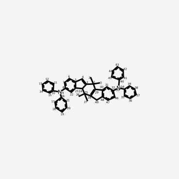 CC1(C)C2=Cc3ccc(N(c4ccccc4)c4ccccc4)cc3C2C(C)(C)C2=C1c1cc(N(c3ccccc3)c3ccccc3)ccc1C2